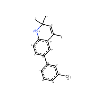 CC1=CC(C)(C)Nc2ccc(-c3cccc(C(F)(F)F)c3)cc21